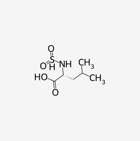 CC(C)C[C@@H](N[SH](=O)=O)C(=O)O